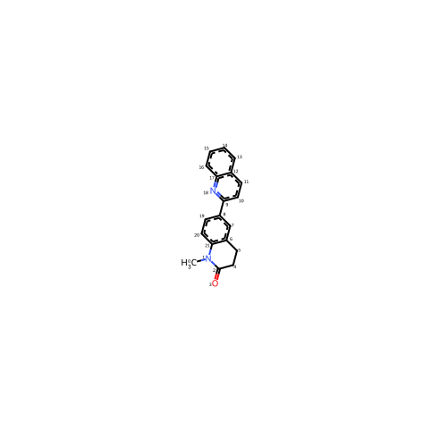 CN1C(=O)CCc2cc(-c3ccc4ccccc4n3)ccc21